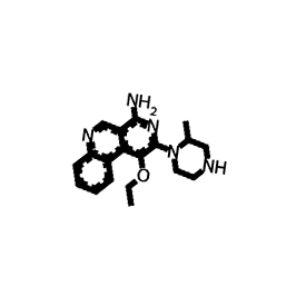 CCOc1c(N2CCNCC2C)nc(N)c2cnc3ccccc3c12